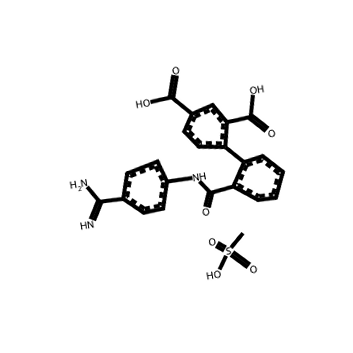 CS(=O)(=O)O.N=C(N)c1ccc(NC(=O)c2ccccc2-c2ccc(C(=O)O)cc2C(=O)O)cc1